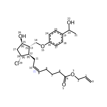 C=CCOC(=O)CCC/C=C\C[C@@H]1[C@@H](COc2ccc(C(C)O)cc2)[C@H](O)C[C@H]1Cl